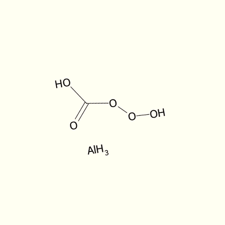 O=C(O)OOO.[AlH3]